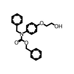 O=C(OCc1ccccc1)N(Cc1ccccc1)c1ccc(OCCO)cc1